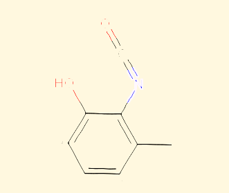 Cc1cccc(O)c1N=C=O